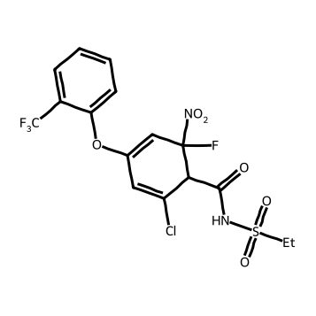 CCS(=O)(=O)NC(=O)C1C(Cl)=CC(Oc2ccccc2C(F)(F)F)=CC1(F)[N+](=O)[O-]